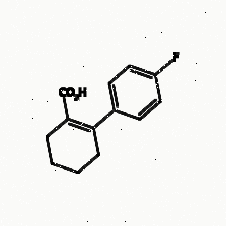 O=C(O)C1=C(c2ccc(F)cc2)CCCC1